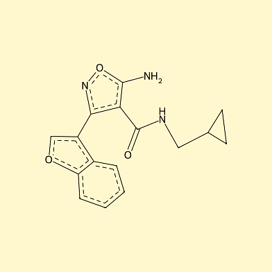 Nc1onc(-c2coc3ccccc23)c1C(=O)NCC1CC1